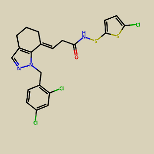 O=C(C/C=C1\CCCc2cnn(Cc3ccc(Cl)cc3Cl)c21)NSc1ccc(Cl)s1